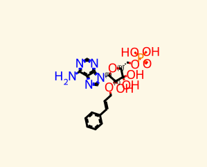 Nc1ncnc2c1ncn2[C@@H]1O[C@H](COP(=O)(O)O)C(O)(O)[C@]1(O)OCC=Cc1ccccc1